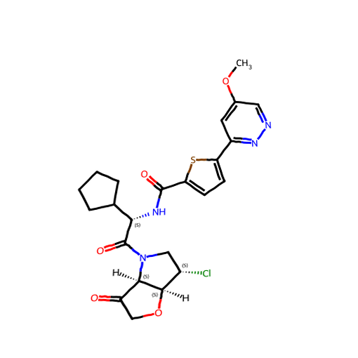 COc1cnnc(-c2ccc(C(=O)N[C@H](C(=O)N3C[C@H](Cl)[C@H]4OCC(=O)[C@H]43)C3CCCC3)s2)c1